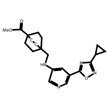 COC(=O)C12CCC(CNc3cncc(-c4nc(C5CC5)no4)c3)(CC1)CC2